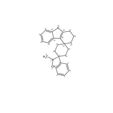 CN(C)C1(c2ccccc2)CCC2(CC1)SCCc1oc3ccccc3c12